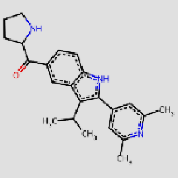 Cc1cc(-c2[nH]c3ccc(C(=O)C4CCCN4)cc3c2C(C)C)cc(C)n1